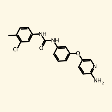 Cc1ccc(NC(=O)Nc2cccc(Oc3ccc(N)nc3)c2)cc1Cl